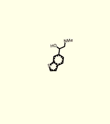 CNCC(O)c1ccc2ccsc2c1